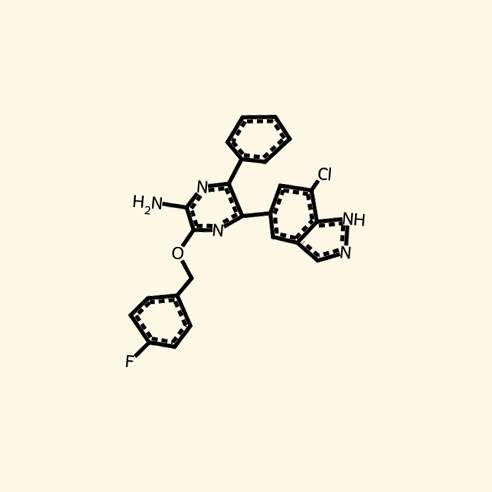 Nc1nc(-c2ccccc2)c(-c2cc(Cl)c3[nH]ncc3c2)nc1OCc1ccc(F)cc1